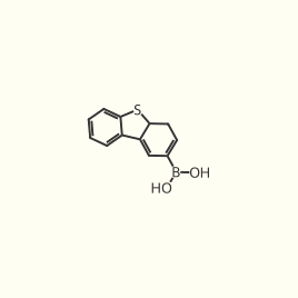 OB(O)C1=CCC2Sc3ccccc3C2=C1